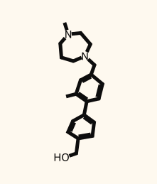 Cc1cc(CN2CCCN(C)CC2)ccc1-c1ccc(CO)cc1